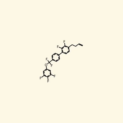 C=CCCc1ccc(-c2ccc(C(F)(F)Oc3cc(F)c(F)c(F)c3)cc2)c(F)c1F